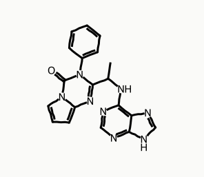 CC(Nc1ncnc2[nH]cnc12)c1nc2cccn2c(=O)n1-c1ccccc1